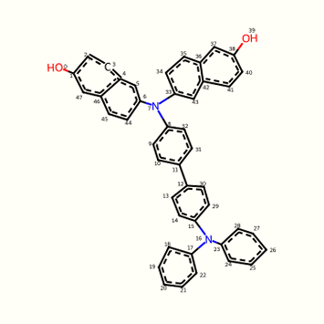 Oc1ccc2cc(N(c3ccc(-c4ccc(N(c5ccccc5)c5ccccc5)cc4)cc3)c3ccc4cc(O)ccc4c3)ccc2c1